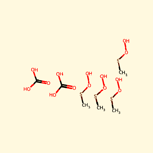 CSOO.CSOO.CSOO.CSOO.O=C(O)O.O=C(O)O